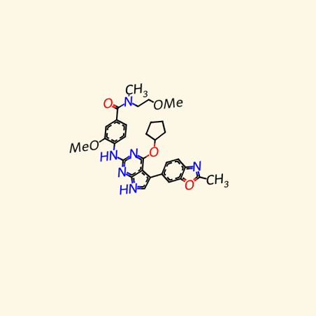 COCCN(C)C(=O)c1ccc(Nc2nc(OC3CCCC3)c3c(-c4ccc5nc(C)oc5c4)c[nH]c3n2)c(OC)c1